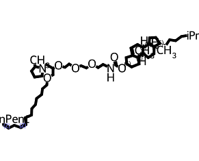 CCCCC/C=C\C/C=C\CCCCCCCCOCC(CN1CCCC1C)OCCOCCOCCNC(=O)O[C@H]1CC[C@@]2(C)C(=CC[C@H]3[C@@H]4CC[C@H](CCCCC(C)C)[C@@]4(C)CC[C@@H]32)C1